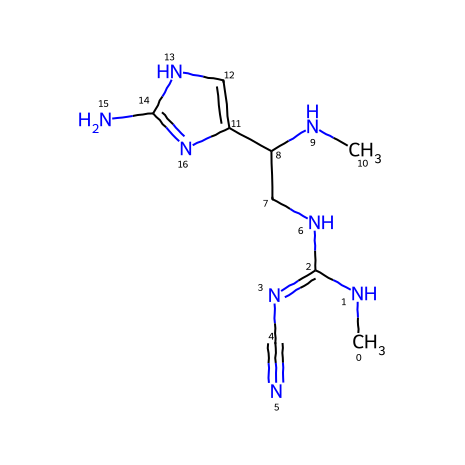 CNC(=NC#N)NCC(NC)c1c[nH]c(N)n1